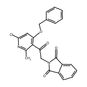 Cc1nc(Cl)cc(OCc2ccccc2)c1C(=O)CN1C(=O)c2ccccc2C1=O